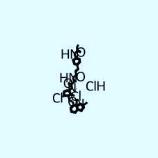 CCC(=O)Nc1ccc(C=CC(=O)NCC(=O)N(C)c2ccc(Cl)c(COc3cccc4ccc(C)nc34)c2Cl)cc1.Cl